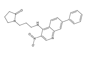 O=C1CCCN1CCCNc1c([N+](=O)[O-])cnc2cc(-c3ccccc3)ccc12